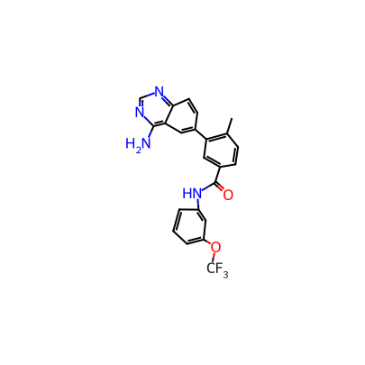 Cc1ccc(C(=O)Nc2cccc(OC(F)(F)F)c2)cc1-c1ccc2ncnc(N)c2c1